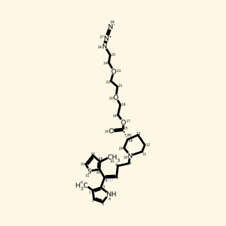 Cc1cc[nH]c1/C(=C/CCN1CCC[C@@H](C(=O)OCCOCCOCCN=[N+]=[N-])C1)c1sccc1C